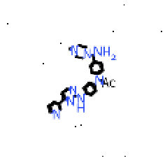 CC(=O)N(c1ccc(Nc2nccc(-c3cccnc3)n2)cc1)c1ccc(C(N)N2CCN(C)CC2)cc1